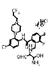 Cl.Cl.NC(O)C(C=O)NCc1c(C(=O)Nc2ccc(Cl)cc2N2CCN(CCC(F)(F)F)CC2)ccc(F)c1F.O